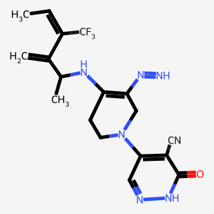 C=C(/C(=C\C)C(F)(F)F)C(C)NC1=C(N=N)CN(c2cn[nH]c(=O)c2C#N)CC1